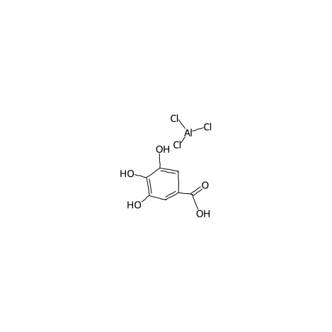 O=C(O)c1cc(O)c(O)c(O)c1.[Cl][Al]([Cl])[Cl]